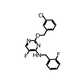 Fc1ccccc1CNc1nc(OCc2cccc(Cl)c2)ncc1F